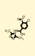 Cc1nnc(C)n1NC(O)c1ccc(Cl)c([N+](=O)[O-])c1